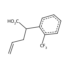 C=CCC(C(=O)O)c1ccccc1C(F)(F)F